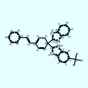 CC(C)(C)c1ccc2oc(C3(c4nc5ccccc5o4)C=CC(C=Cc4ccccc4)=CC3)nc2c1